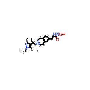 Cc1nn(C)c(C)c1CCN1CCc2ccc(/C=C/C(=O)NO)cc2CC1